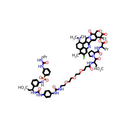 CCCNC(=O)Nc1cccc(S(=O)(=O)Nc2cccc(C(CC(=O)O)NC(=O)Nc3ccc(NC(=O)NCCOCCOCCOCCC(=O)NC(CC(=O)O)C(=O)N4CCCC4C(=O)NC(C(=O)OC4(CC)C(=O)OCc5c4cc4n(c5=O)Cc5c-4nc4cc(F)c(C)c6c4c5C(N(C)C)CC6)C(C)C)cc3)c2)c1